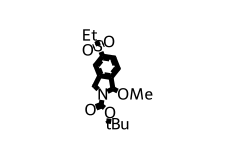 CCS(=O)(=O)c1ccc2c(c1)CN(C(=O)OC(C)(C)C)C2OC